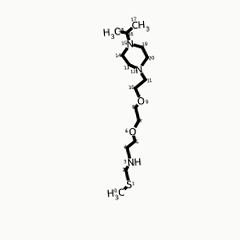 CSCNCCOCCOCCN1CCN(C(C)C)CC1